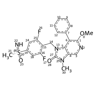 COc1ncc2c(c1-c1ccccc1)n(Cc1c(F)cc([S@](C)(=N)=O)cc1F)c(=O)n2C